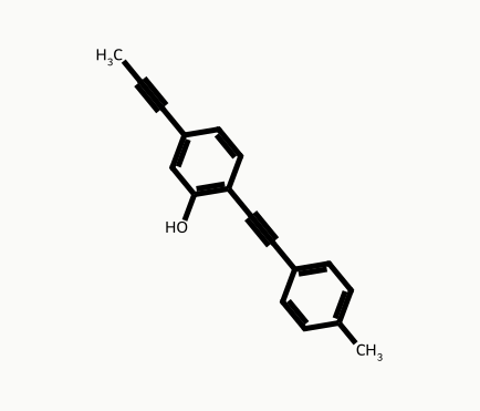 CC#Cc1ccc(C#Cc2ccc(C)cc2)c(O)c1